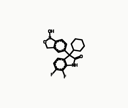 O=C1Nc2c(ccc(F)c2F)C1(c1ccc2c(c1)COB2O)C1CCCCC1